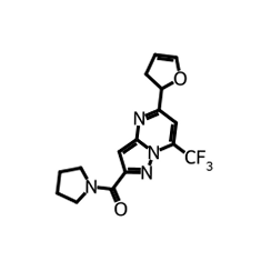 O=C(c1cc2nc(C3CC=CO3)cc(C(F)(F)F)n2n1)N1CCCC1